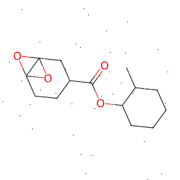 CC1CCCCC1OC(=O)C1CCC23OC2(C1)O3